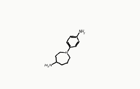 Nc1ccc(N2CCCC(N)CC2)cc1